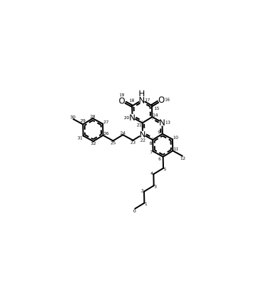 CCCCCCc1cc2c(cc1C)nc1c(=O)[nH]c(=O)nc-1n2CCCc1ccc(C)cc1